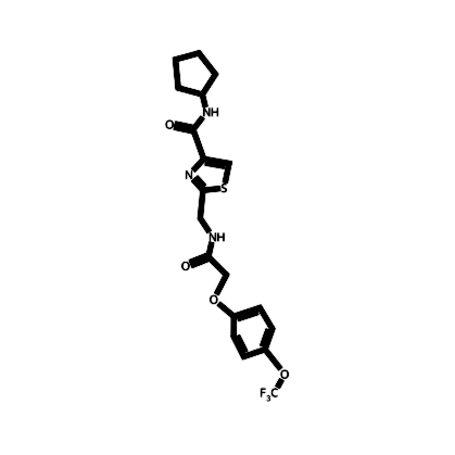 O=C(COc1ccc(OC(F)(F)F)cc1)NCc1nc(C(=O)NC2CCCC2)cs1